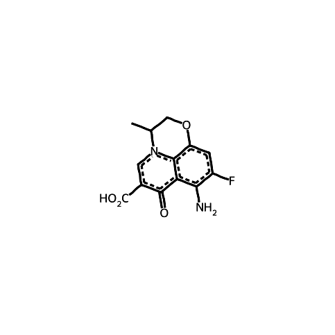 CC1COc2cc(F)c(N)c3c(=O)c(C(=O)O)cn1c23